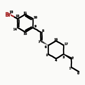 CCC[C@H]1CC[C@H](C=Cc2ccc(Br)cc2)CC1